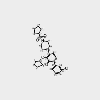 O=c1c(OC2CCCC2)c(N2CCN(S(=O)(=O)C3CCCC3)CC2)cnn1-c1cccc(Cl)c1